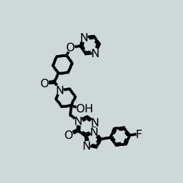 O=C(C1CCC(Oc2cnccn2)CC1)N1CCC(O)(Cn2cnn3c(-c4ccc(F)cc4)cnc3c2=O)CC1